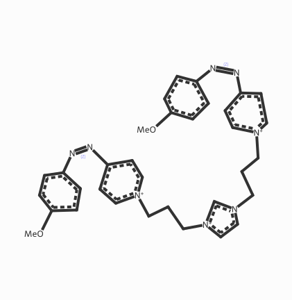 COc1ccc(/N=N\c2cc[n+](CCCn3cc[n+](CCC[n+]4ccc(/N=N\c5ccc(OC)cc5)cc4)c3)cc2)cc1